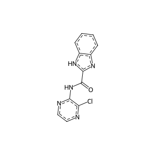 O=C(Nc1nccnc1Cl)c1nc2ccccc2[nH]1